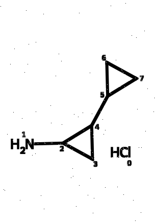 Cl.NC1CC1C1CC1